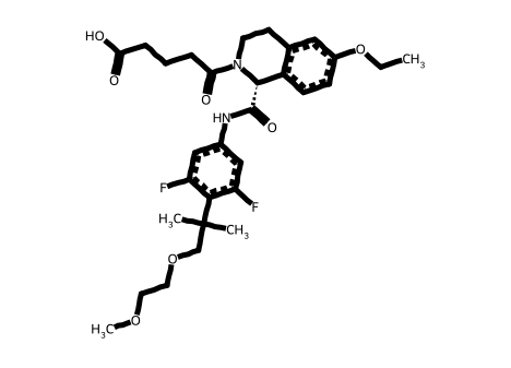 CCOc1ccc2c(c1)CCN(C(=O)CCCC(=O)O)[C@H]2C(=O)Nc1cc(F)c(C(C)(C)COCCOC)c(F)c1